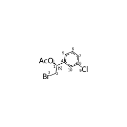 CC(=O)O[C@H](CBr)c1cccc(Cl)c1